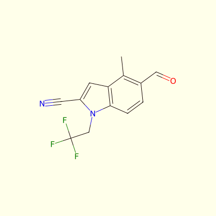 Cc1c(C=O)ccc2c1cc(C#N)n2CC(F)(F)F